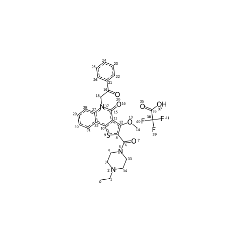 CCN1CCN(C(=O)c2sc3c(c2OC)c(=O)n(CC(=O)c2ccccc2)c2ccccc32)CC1.O=C(O)C(F)(F)F